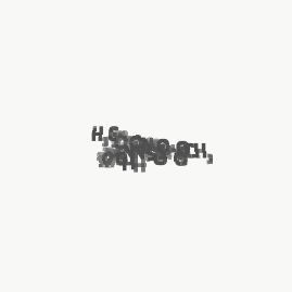 COC(=O)CCS(=O)(=O)c1cnc(NC(=O)Nc2ccc(C)cc2C(=O)C2CCCC2)s1